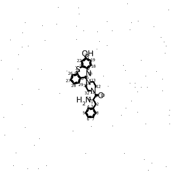 N[C@@H](Cc1ccccc1)C(=O)N1CCN(C2=Nc3ccc(O)cc3Sc3ccccc32)CC1